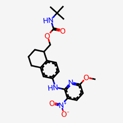 COc1ccc([N+](=O)[O-])c(Nc2ccc3c(c2)CCCC3COC(=O)NC(C)(C)C)n1